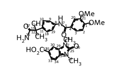 COc1ccc(C(=O)Nc2ccc(C(C)(C)C(N)=O)cc2)cc1OC.Cn1c(=O)n(C)c2cc(C(=O)O)ccc21